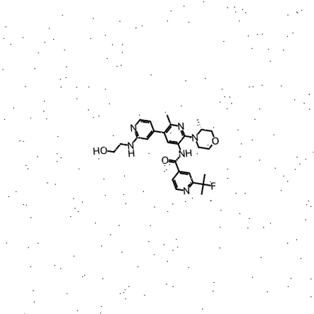 Cc1nc(N2CCOC[C@H]2C)c(NC(=O)c2ccnc(C(C)(C)F)c2)cc1-c1ccnc(NCCO)c1